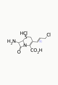 Cl.NC1C(=O)N2C(C(=O)O)=C(/C=C/CCl)CSC12